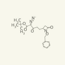 CC(C)(C)OC(=O)C(=[N+]=[N-])C(=O)CCC1CC(=O)N1OCc1ccccc1